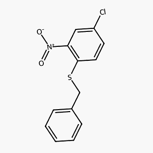 O=[N+]([O-])c1cc(Cl)ccc1SCc1ccccc1